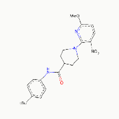 COc1ccc([N+](=O)[O-])c(N2CCC(C(=O)Nc3ccc(C(C)(C)C)cc3)CC2)n1